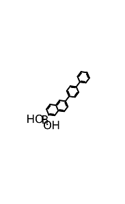 OB(O)c1ccc2cc(-c3ccc(-c4ccccc4)cc3)ccc2c1